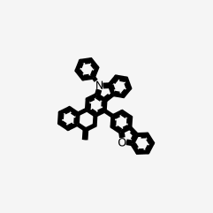 C=C1Cc2c(cc3c(c2-c2ccc4c(c2)oc2ccccc24)c2ccccc2n3-c2ccccc2)-c2ccccc21